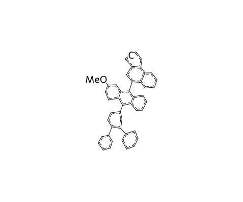 COc1ccc2c(-c3ccc(-c4ccccc4)c(-c4ccccc4)c3)c3ccccc3c(-c3cc4ccccc4c4ccccc34)c2c1